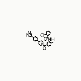 Cc1ccc(C(=O)N2CCC(c3ccc(-c4cnn(C)c4)cc3)CC2)cc1NC(=O)c1ccccc1Cl